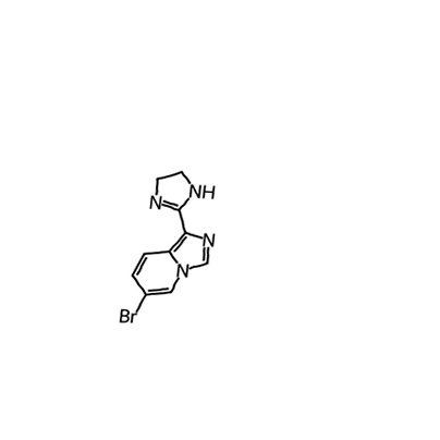 Brc1ccc2c(C3=NCCN3)ncn2c1